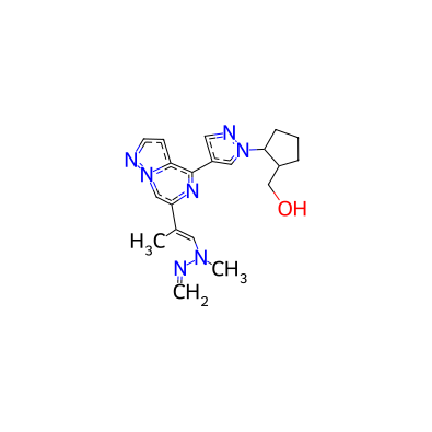 C=NN(C)/C=C(\C)c1cn2nccc2c(-c2cnn(C3CCCC3CO)c2)n1